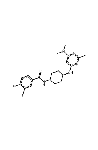 Cc1nc(NC2CCC(NC(=O)c3ccc(F)c(F)c3)CC2)cc(N(C)C)n1